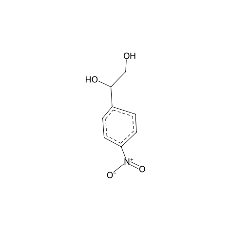 O=[N+]([O-])c1ccc(C(O)CO)cc1